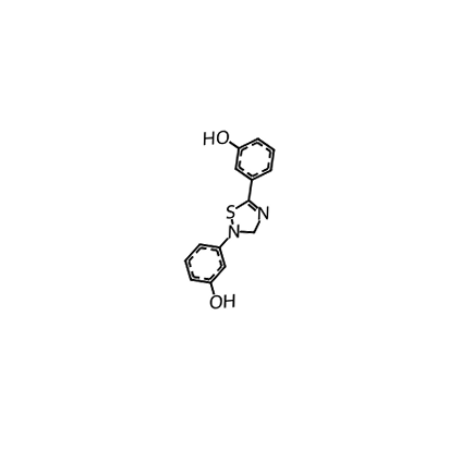 Oc1cccc(C2=NCN(c3cccc(O)c3)S2)c1